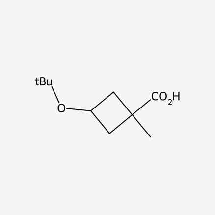 CC(C)(C)OC1CC(C)(C(=O)O)C1